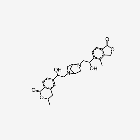 Cc1c(C(O)CN2CC3CC2CN3CC(O)c2ccc3c(c2)CC(C)OC3=O)ccc2c1COC2=O